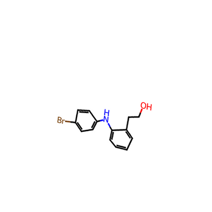 OCCc1ccccc1Nc1ccc(Br)cc1